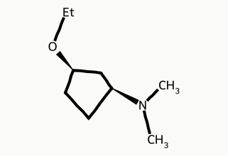 CCO[C@@H]1CC[C@H](N(C)C)C1